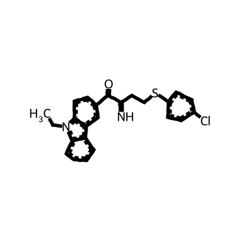 CCn1c2ccccc2c2cc(C(=O)C(=N)CCSc3ccc(Cl)cc3)ccc21